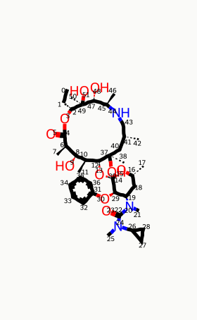 CC[C@H]1OC(=O)[C@H](C)[C@@H](O)[C@H](C)[C@@H](O[C@@H]2O[C@H](C)C[C@H](N(C)C(=O)N(C)C3CC3)[C@H]2Oc2ccccc2)[C@](C)(O)C[C@@H](C)CN[C@H](C)[C@@H](O)[C@]1(C)O